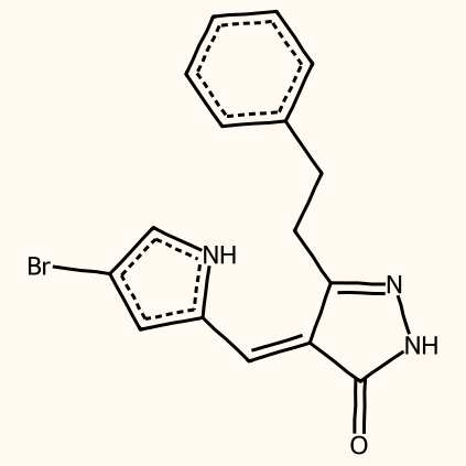 O=C1NN=C(CCc2ccccc2)C1=Cc1cc(Br)c[nH]1